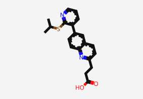 CC(C)Sc1ncccc1-c1ccc2nc(CCC(=O)O)ccc2c1